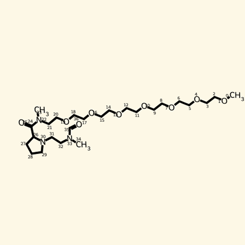 COCCOCCOCCOCCOCCOCCOCCN(C)C(=O)C1CCCN1CCN(C)C=O